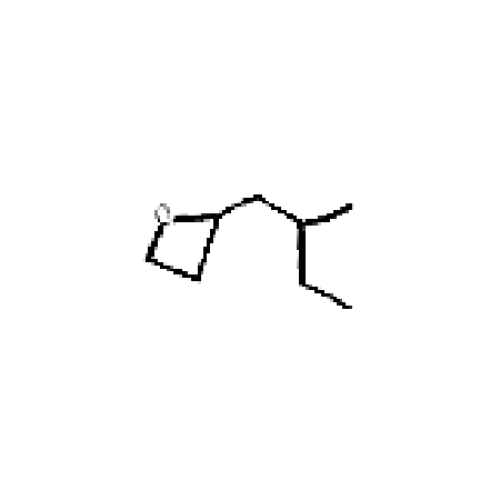 CCC(C)[CH]C1CCO1